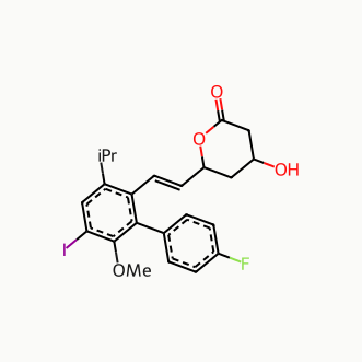 COc1c(I)cc(C(C)C)c(/C=C/C2CC(O)CC(=O)O2)c1-c1ccc(F)cc1